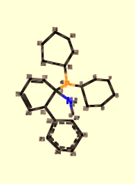 CN(C)C1(P(C2CCCCC2)C2CCCCC2)C=CC=CC1c1ccccc1